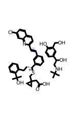 CC(C)(C)NCC(O)c1ccc(O)c(CO)c1.CC(C)(O)c1ccccc1CC[C@@H](SCC1(CC(=O)O)CC1)c1cccc(/C=C/c2ccc3ccc(Cl)cc3n2)c1